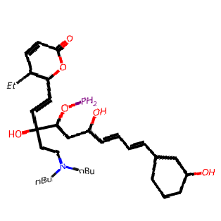 CCCCN(CCCC)CCC(O)(C=CC1OC(=O)C=CC1CC)C(CC(O)C=CC=CC1CCCC(O)C1)OP